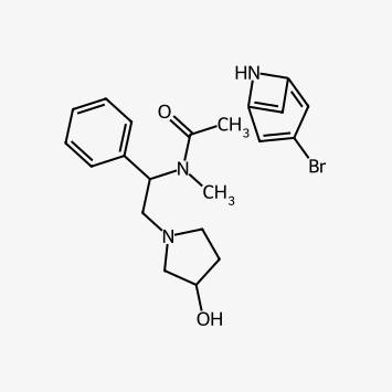 Brc1cc2cc(c1)N2.CC(=O)N(C)C(CN1CCC(O)C1)c1ccccc1